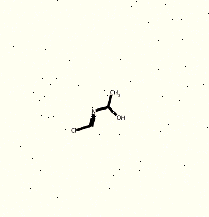 CC(O)N=CCl